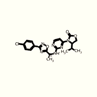 CC(C)C1COC(=O)N1c1ccnc(N[C@@H](C)c2nc(-c3ccc(Cl)cc3)no2)n1